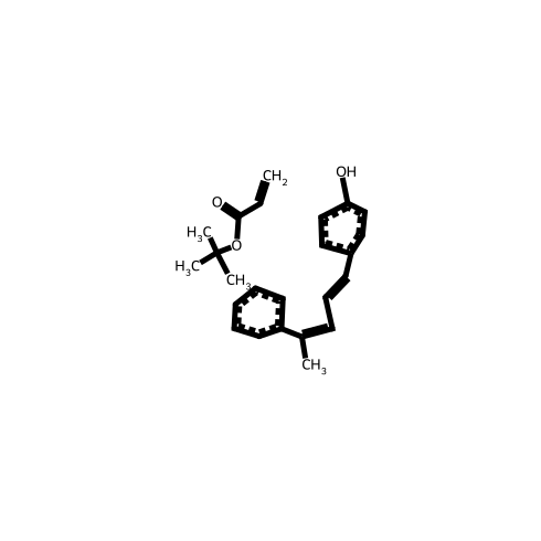 C=CC(=O)OC(C)(C)C.CC(=CC=Cc1ccc(O)cc1)c1ccccc1